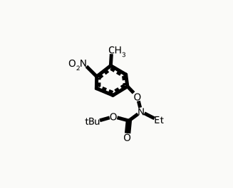 CCN(Oc1ccc([N+](=O)[O-])c(C)c1)C(=O)OC(C)(C)C